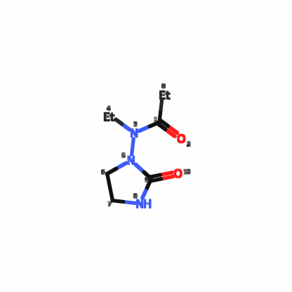 CCC(=O)N(CC)N1CCNC1=O